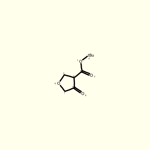 CC(C)(C)OC(=O)C1COCC1=O